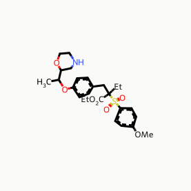 CCOC(=O)C(CC)(Cc1ccc(OC(C)C2CNCCO2)cc1)S(=O)(=O)c1ccc(OC)cc1